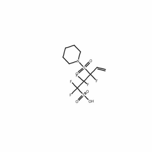 C=CC(F)(C(F)(F)C(F)(F)S(=O)(=O)O)S(=O)(=O)N1CCCCC1